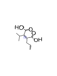 C=CC/C(C(=O)O)=C(/C(=O)O)C(C)C